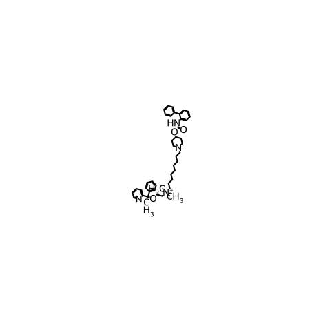 CC(OCC[N+](C)(C)CCCCCCCCCN1CCC(OC(=O)Nc2ccccc2-c2ccccc2)CC1)(c1ccccc1)c1ccccn1